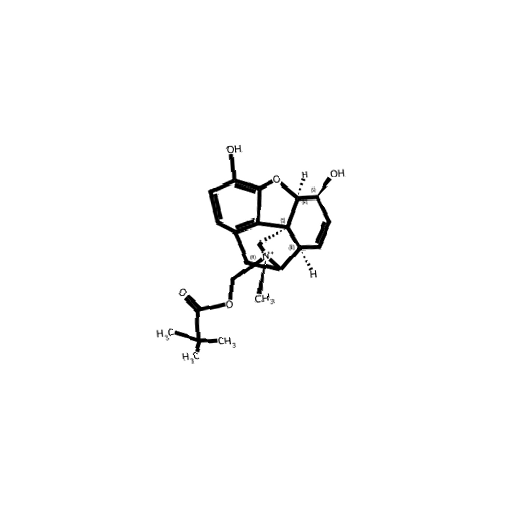 CC(C)(C)C(=O)OC[N@+]1(C)CC[C@]23c4c5ccc(O)c4O[C@H]2[C@@H](O)C=C[C@H]3C1C5